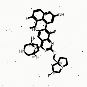 CCc1c(F)ccc2cc(O)cc(-c3c(O)cc4c(N5[C@@H]6CC[C@H]5CNC6)nc(OC[C@@]56CCCN5C[C@H](F)C6)nc4c3F)c12